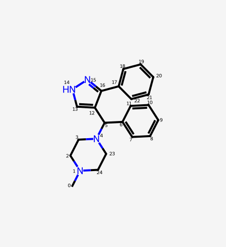 CN1CCN(C(c2ccccc2)c2c[nH]nc2-c2ccccc2)CC1